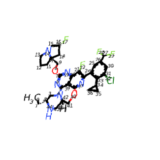 CC[C@@H]1CN2c3nc(OC[C@@]45CCCN4C[C@H](F)C5)nc4c(F)c(-c5cc(C(F)F)cc(Cl)c5C5CC5)nc(c34)OC[C@@H]2CN1